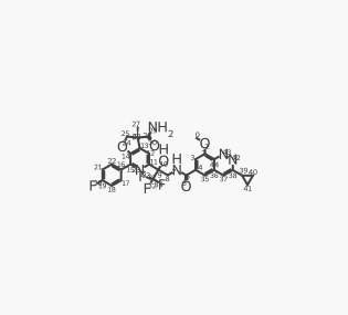 COc1cc(C(=O)NCC(O)(c2cc3c(c(-c4ccc(F)cc4)n2)OC[C@]3(C)C(N)=O)C(F)(F)F)cc2cc(C3CC3)nnc12